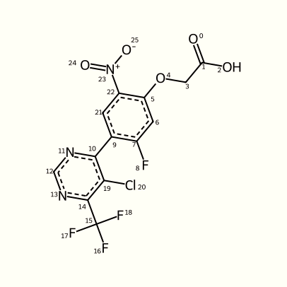 O=C(O)COc1cc(F)c(-c2ncnc(C(F)(F)F)c2Cl)cc1[N+](=O)[O-]